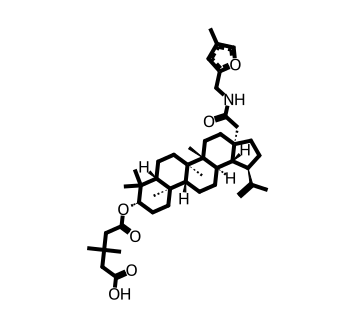 C=C(C)[C@@H]1CC[C@]2(CC(=O)NCc3cc(C)co3)CC[C@]3(C)[C@H](CC[C@@H]4[C@@]5(C)CC[C@H](OC(=O)CC(C)(C)CC(=O)O)C(C)(C)[C@@H]5CC[C@]43C)[C@@H]12